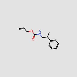 C=CCOC(=O)NCC(C)c1ccccc1